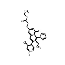 CCOC(=O)COc1cc(C)c2c(-n3cncn3)c(CN)c(-c3ccc(Cl)cc3Cl)nc2c1